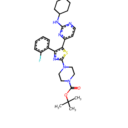 CC(C)(C)OC(=O)N1CCN(c2nc(-c3ccccc3F)c(-c3ccnc(NC4CCCCC4)n3)s2)CC1